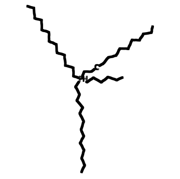 CCCCCCCCCCCCC[PH](CCCCCC)(CCCCCCCCCCCCC)CCCCCCCCCCCCC